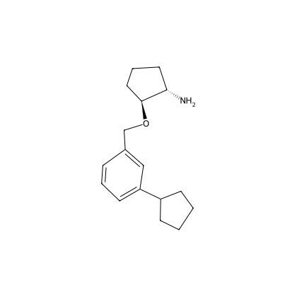 N[C@H]1CCC[C@@H]1OCc1cccc(C2CCCC2)c1